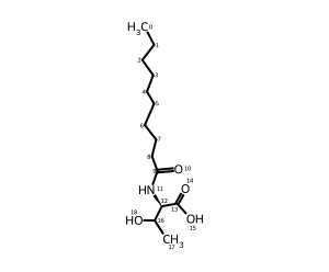 CCCCCCCCCC(=O)N[C@@H](C(=O)O)C(C)O